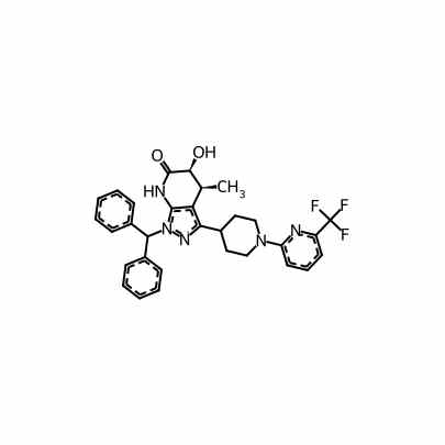 C[C@H]1c2c(C3CCN(c4cccc(C(F)(F)F)n4)CC3)nn(C(c3ccccc3)c3ccccc3)c2NC(=O)[C@H]1O